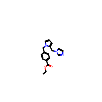 CCOC(=O)c1ccc(Cn2cccc2Cn2ccnc2)cc1